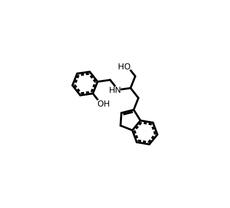 OCC(CC1=CCc2ccccc21)NCc1ccccc1O